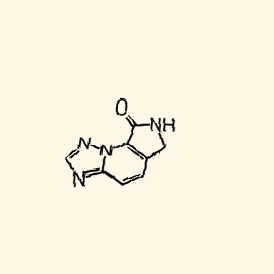 O=C1NCc2ccc3ncnn3c21